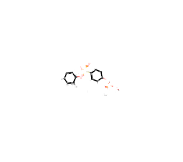 CCCSP(=O)(OCC)Oc1ccc(S(=O)(=O)Oc2ccccc2C)cc1